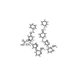 CP(=O)(O)O.Nc1ncccc1-c1cc(Cc2ccc(OCc3ccccc3)cc2)no1.Nc1ncccc1-c1cc(Cc2ccc(OCc3ccccc3)cc2)no1